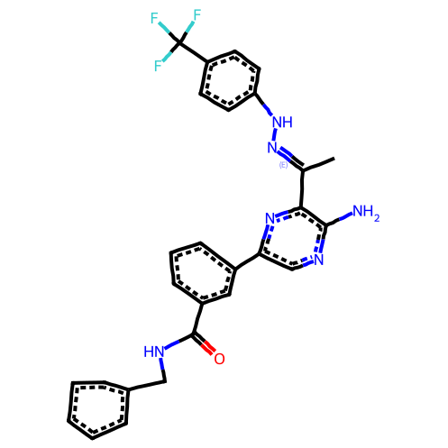 C/C(=N\Nc1ccc(C(F)(F)F)cc1)c1nc(-c2cccc(C(=O)NCc3ccccc3)c2)cnc1N